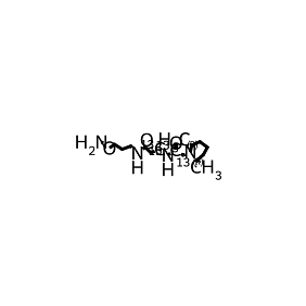 C[C@@H]1CCC[C@H]([13CH3])N1C[13C](=O)[15NH][13CH2]CC(=O)NCCCON